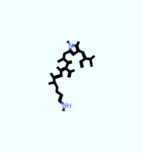 C=C/C(=C\c1cc(CC(C)C(=C)/C(C(=C)C)=C(C)/C=C(\C)C(C)CC/C=C/NC)n(C)c1C)C(C)C